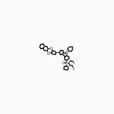 C/C=C\C(=C/C=S)P(=O)(c1ccccc1)c1ccc2c(c1)c1cc(-c3ccc4c(c3)Oc3cc5ccccc5cc3O4)ccc1n2-c1ccccc1